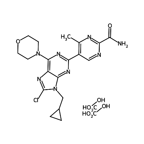 Cc1nc(C(N)=O)ncc1-c1nc(N2CCOCC2)c2nc(Cl)n(CC3CC3)c2n1.O=C(O)O.O=C(O)O